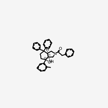 Cc1ccccc1[C@]1(O)CCC(c2ccccc2)(c2ccccc2)[C@H]2CN(C(=O)Cc3ccccc3)C[C@H]21